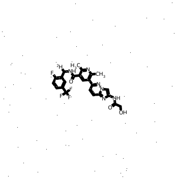 [2H]C(NC(=O)c1cc(-c2ccc3nc(NC(=O)CO)cn3n2)c(C)nc1C)c1cc(C(F)(F)F)ccc1F